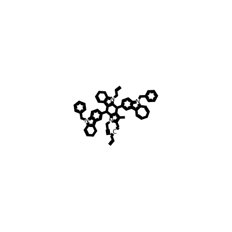 C#CCn1c(C=C=CC=C)c(C)c2c1C(c1ccc3c(c1)c1c(n3Cc3ccccc3)C=CCC1)c1c3c(n(CC=C)c1C2c1ccc2c(c1)c1c(n2Cc2ccccc2)C=CCC=C1)CCC=C3